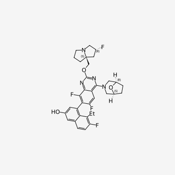 CCc1c(F)ccc2cc(O)cc(-c3c(F)cc4c(N5C[C@H]6CC[C@@H](C5)O6)nc(OC[C@@]56CCCN5C[C@H](F)C6)nc4c3F)c12